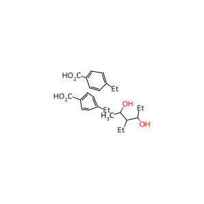 CCC(O)C(CC)C(C)O.CCc1ccc(C(=O)O)cc1.CCc1ccc(C(=O)O)cc1